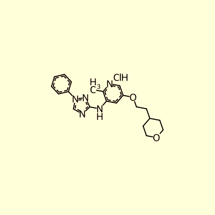 Cc1ncc(OCCC2CCOCC2)cc1Nc1ncn(-c2ccccc2)n1.Cl